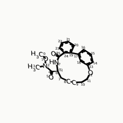 CON(C)C(=O)[C@@H]1CCCCCOc2cccc(c2)-c2ccccc2C(=O)N1